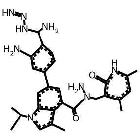 Cc1cc(C)c(CN(N)C(=O)c2cc(-c3ccc(C(N)NN=N)c(N)c3)cc3c2c(C)cn3C(C)C)c(=O)[nH]1